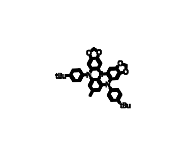 Cc1cc2c3c(c1)N(c1ccc(C(C)(C)C)cc1)c1cc4c(cc1B3c1cc3c(cc1N2c1ccc(C(C)(C)C)cc1)OCO3)OCO4